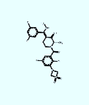 CN/C(=C1/CCN(C(=O)c2cc(F)cc(N3CS(=O)(=O)C3)c2Cl)[C@@H](C)C1=N)c1cc(F)cc(F)c1